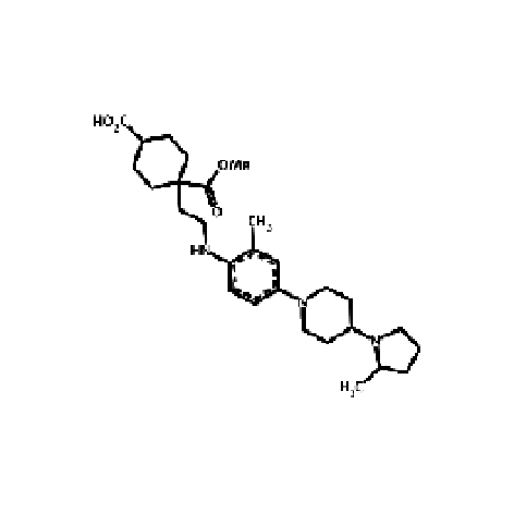 COC(=O)C1(CCNc2ccc(N3CCC(N4CCCC4C)CC3)cc2C)CCC(C(=O)O)CC1